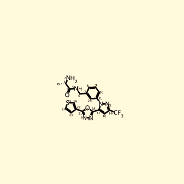 C[C@H](N)C(=O)NCc1cccc(-n2nc(C(F)(F)F)cc2-c2nnc(-c3ccsc3)o2)c1